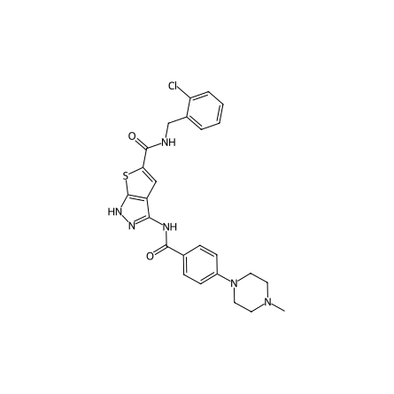 CN1CCN(c2ccc(C(=O)Nc3n[nH]c4sc(C(=O)NCc5ccccc5Cl)cc34)cc2)CC1